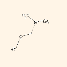 CC(C)SCN(C)C